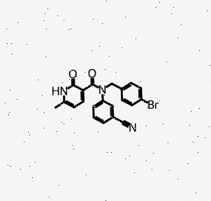 Cc1ccc(C(=O)N(Cc2ccc(Br)cc2)c2cccc(C#N)c2)c(=O)[nH]1